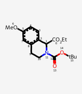 CCOC(=O)C1c2ccc(OC)cc2CCN1C(=O)OC(C)(C)C